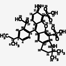 CC(C)c1ccc(-c2c3ccc(=N)c(S(=O)(=O)O)c-3oc3c(S(=O)(=O)O)c4c(cc23)CCC(C)(C)N4)c(C(=O)O)c1